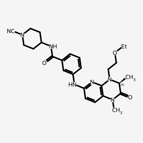 CCOCCN1c2nc(Nc3cccc(C(=O)NC4CCN(C#N)CC4)c3)ccc2N(C)C(=O)[C@@H]1C